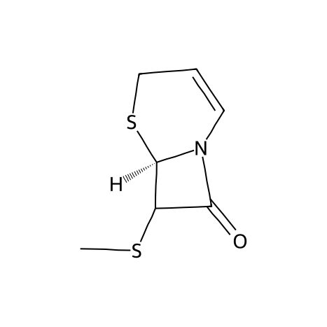 CSC1C(=O)N2C=CCS[C@H]12